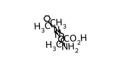 C[C@H](CN)O[C@@H](Cc1cn(CCC(C)(C)C2CCCCC2)cn1)C(=O)O